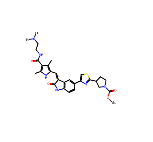 CCN(CC)CCNC(=O)c1c(C)[nH]c(/C=C2\C(=O)Nc3ccc(-c4csc(C5CCN(C(=O)OC(C)(C)C)C5)n4)cc32)c1C